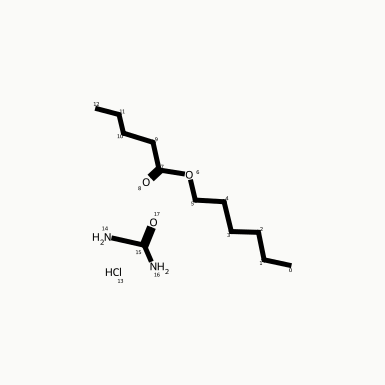 CCCCCCOC(=O)CCCC.Cl.NC(N)=O